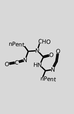 CCCCCC(N=C=O)NC(=O)N(C=O)C(CCCCC)N=C=O